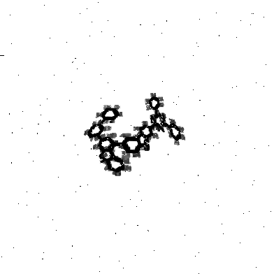 c1ccc(-c2cccc(-c3cc(-c4ccc5sc6cc(-c7nc(-c8ccccc8)nc(-c8ccccc8)n7)ccc6c5c4)c4c(c3)sc3ccccc34)c2)cc1